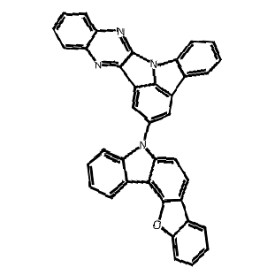 c1ccc2nc3c(nc2c1)c1cc(-n2c4ccccc4c4c5oc6ccccc6c5ccc42)cc2c4ccccc4n3c21